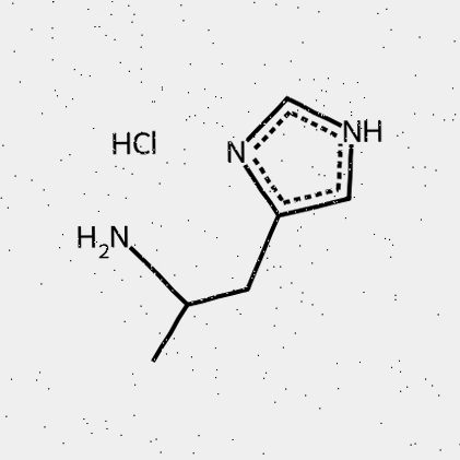 CC(N)Cc1c[nH]cn1.Cl